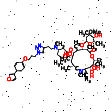 CC[C@H]1OC(=O)[C@H](C)[C@@H](O[C@H]2C[C@@](C)(OC)[C@@H](O)[C@H](C)O2)[C@H](C)[C@@H](O[C@H]2C[C@@H](N(C)CCc3cn(CCCOc4ccc(-c5ccoc5)cc4)nn3)C[C@@H](C)O2)[C@](C)(O)C[C@@H](C)CN(C)[C@H](C)[C@@H](O)[C@]1(C)O